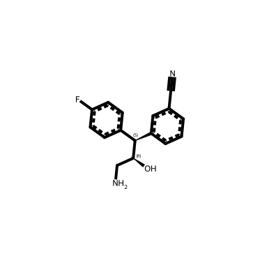 N#Cc1cccc([C@H](c2ccc(F)cc2)[C@@H](O)CN)c1